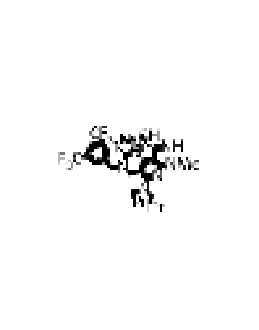 CNc1nc(N(CC(C)C)CC(C)C)c(CN(Cc2cc(C(F)(F)F)cc(C(F)(F)F)c2)c2nnn(C)n2)cc1C(C)=N